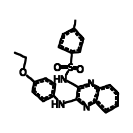 CCOc1ccc(Nc2nc3ccccc3nc2NS(=O)(=O)c2ccc(C)cc2)cc1